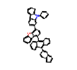 c1ccc(-n2c3ccccc3c3ccc(-c4ccc(-c5c6ccccc6c(-c6ccc7ccccc7c6)c6ccccc56)c5c4oc4ccccc45)cc32)cc1